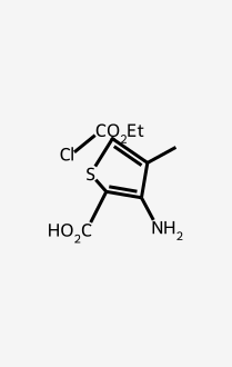 CCOC(=O)Cl.Cc1csc(C(=O)O)c1N